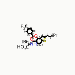 CC(C)CCc1cc2c(OCc3ccc(C(F)(F)F)cc3)c(C(=O)NC(C(=O)O)C(C)(C)C)ccc2s1